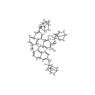 CC1(Oc2ccc3c4c(ccc3c2)Oc2ccc3cc(OC5(C)C6CC7CC(C6)C5C7)ccc3c2C4c2cc(I)c(OC3(C)C4CC5CC(C4)C3C5)c(I)c2)C2CC3CC(C2)C1C3